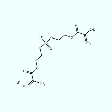 C=C(C)C(=O)OCCOP(=O)([O-])OCCOC(=O)C(=C)C.[Li+]